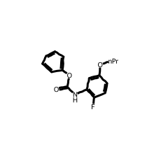 CCCOc1ccc(F)c(NC(=O)Oc2ccccc2)c1